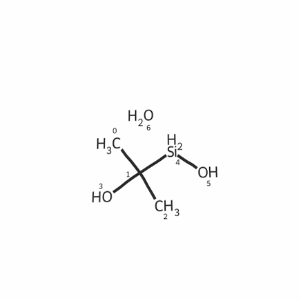 CC(C)(O)[SiH2]O.O